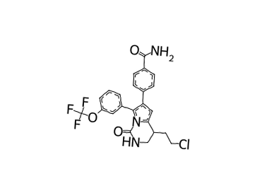 NC(=O)c1ccc(-c2cc3n(c2-c2cccc(OC(F)(F)F)c2)C(=O)NCC3CCCl)cc1